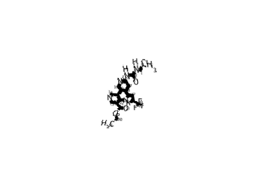 CCNC(=O)Nc1cc2c(cn1)c1cncc(C(=O)OCC)c1n1nc(C(F)(F)F)cc21